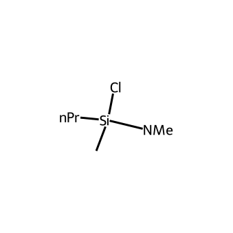 CCC[Si](C)(Cl)NC